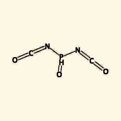 O=C=N[PH](=O)N=C=O